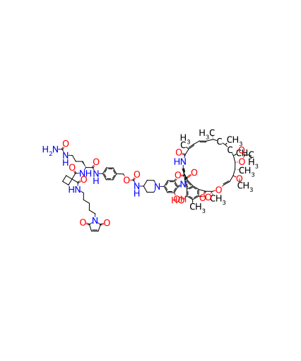 CO[C@H]1/C=C/O[C@@]2(C)Oc3c(C)c(O)c4c(=O)c(c5oc6cc(N7CCC(NC(=O)OCc8ccc(NC(=O)[C@H](CCCNC(N)=O)NC(=O)C9(C(=O)NCCCCCN%10C(=O)C=CC%10=O)CCC9)cc8)CC7)cc(O)c6nc-5c4c3C2=O)NC(=O)/C(C)=C\C=C\[C@H](C)C[C@@H](C)C[C@@H](C)[C@H](OC(C)=O)[C@@H]1C